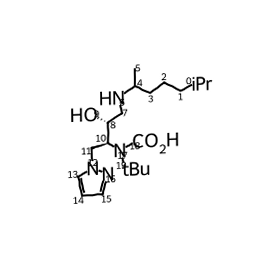 CC(C)CCCC(C)NC[C@@H](O)[C@H](Cn1cccn1)N(C(=O)O)C(C)(C)C